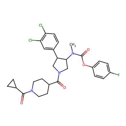 CN(C(=O)Oc1ccc(F)cc1)C1CN(C(=O)C2CCN(C(=O)C3CC3)CC2)CC1c1ccc(Cl)c(Cl)c1